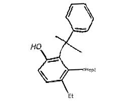 CCCCCCCc1c(CC)ccc(O)c1C(C)(C)c1ccccc1